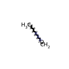 [CH2]O/C=C/C=C/C=C/CCCCC